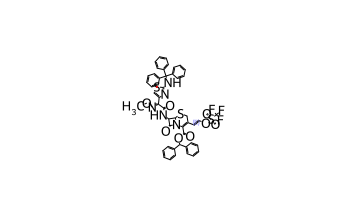 CON=C(C(=O)NC1C(=O)N2C(C(=O)OC(c3ccccc3)c3ccccc3)=C(/C=C/OS(=O)(=O)C(F)(F)F)CSC12)c1csc(NC(c2ccccc2)(c2ccccc2)c2ccccc2)n1